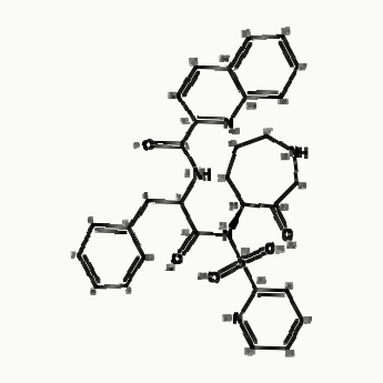 O=C(NC(Cc1ccccc1)C(=O)N([C@H]1CCCNCC1=O)S(=O)(=O)c1ccccn1)c1ccc2ccccc2n1